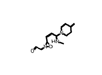 CNC(/C=C\C1ON1CC=O)N1CCC(C)CC1